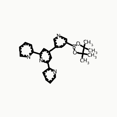 CC1(C)OB(c2cncc(-c3cc(-c4ccccn4)nc(-c4ccccn4)c3)c2)OC1(C)C